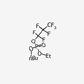 CCCCOP(=O)(OCC)OC(F)(F)C(F)(F)C(F)(F)F